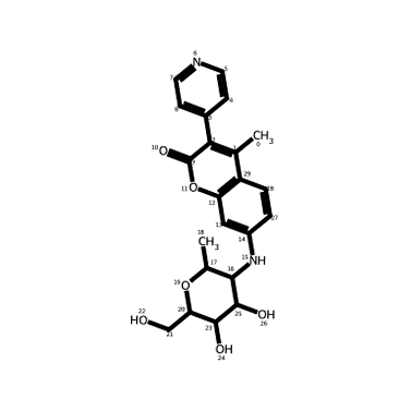 Cc1c(-c2ccncc2)c(=O)oc2cc(NC3C(C)OC(CO)C(O)C3O)ccc12